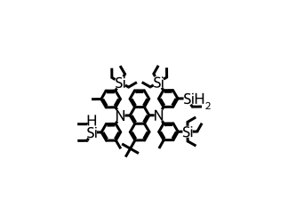 CC[SiH2]c1cc(N(c2cc(C)cc([Si](CC)(CC)CC)c2)c2c3ccccc3c(N(c3cc(C)cc([SiH](CC)CC)c3)c3cc(C)cc([Si](CC)(CC)CC)c3)c3cc(C(C)(C)C)ccc23)cc([Si](CC)(CC)CC)c1